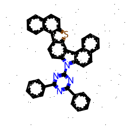 c1ccc(-c2nc(-c3ccccc3)nc(-n3c4ccc5ccccc5c4c4c5sc6ccc7ccccc7c6c5ccc43)n2)cc1